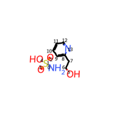 NS(=O)(=O)O.OCCc1ccccn1